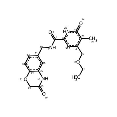 CCOCc1nc(C(=O)NCc2ccc3c(c2)NC(=O)CO3)[nH]c(=O)c1C